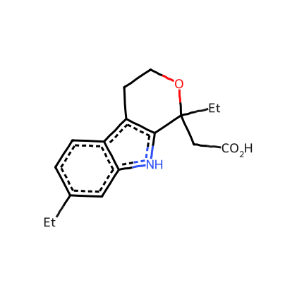 CCc1ccc2c3c([nH]c2c1)C(CC)(CC(=O)O)OCC3